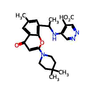 Cc1cc(C(C)Nc2cnncc2C(=O)O)c2oc(N3CCC(C)(C)CC3)cc(=O)c2c1